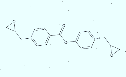 O=C(Oc1ccc(CC2CO2)cc1)c1ccc(CC2CO2)cc1